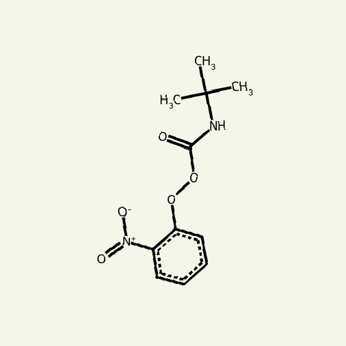 CC(C)(C)NC(=O)OOc1ccccc1[N+](=O)[O-]